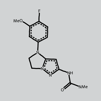 CNC(=O)Nc1cc2n(n1)CCN2c1ccc(F)c(OC)c1